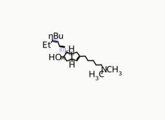 CCCC/C(=C/C=C/[C@@H]1[C@H]2CC(CCCCCN(C)C)=C[C@H]2C[C@H]1O)CC